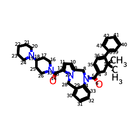 CC1(C)CC(C(=O)N2Cc3ccc(C(=O)N4CCC(N5CCCCC5)CC4)n3Cc3ccccc32)=CC=C1c1ccccc1